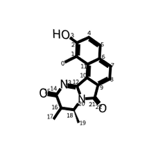 Cc1c(O)ccc2ccc3c(c12)C1=NC(=O)C(C)[C@H](C)N1C3=O